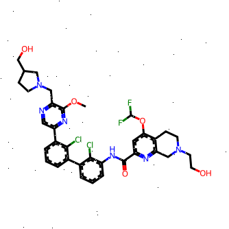 COc1nc(-c2cccc(-c3cccc(NC(=O)c4cc(OC(F)F)c5c(n4)CN(CCO)CC5)c3Cl)c2Cl)cnc1CN1CCC(CO)C1